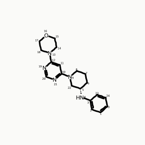 c1ccc(N[C@H]2CCCN(c3cc(N4CCOCC4)ncn3)C2)cc1